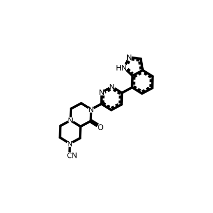 N#CN1CCN2CCN(c3ccc(-c4cccc5cn[nH]c45)nn3)C(=O)C2C1